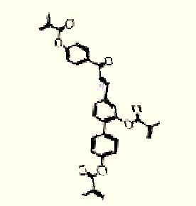 C=C(C)C(=O)Oc1ccc(C(=O)/C=C/c2ccc(-c3ccc(OC(=O)C(=C)C)cc3)c(OC(=O)C(=C)C)c2)cc1